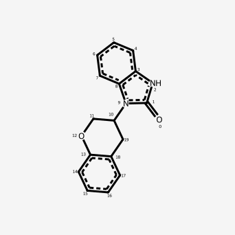 O=c1[nH]c2ccccc2n1C1COc2ccccc2C1